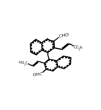 O=Cc1cc2ccccc2c(-c2c(C=CC(=O)O)c(C=O)cc3ccccc23)c1C=CC(=O)O